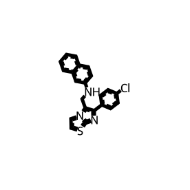 Clc1ccc(-c2nc3sccn3c2CNc2ccc3ccccc3c2)cc1